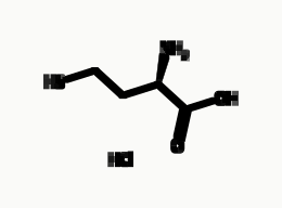 Cl.N[C@H](CCS)C(=O)O